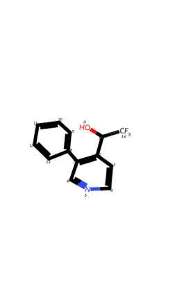 OC(c1ccncc1-c1cc[c]cc1)C(F)(F)F